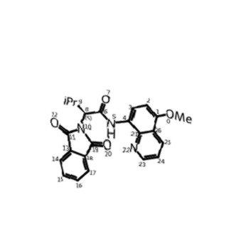 COc1ccc(NC(=O)[C@H](C(C)C)N2C(=O)c3ccccc3C2=O)c2ncccc12